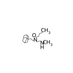 CCCCC(=O)N(CCNC)CCC12CC3CC(CC(C3)C1)C2